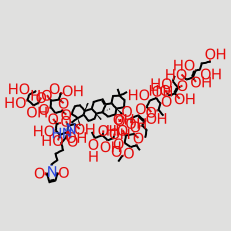 CCC(OC1OC(C)C(OC(C)=O)C(OC(O)C(O)C(O)C(C)O)C1O)/C(O)=C(/OC1OC(C)C(OC(O)/C(O)=C(/OC(O)/C(O)=C(\O)C(O)CCO)C(C)O)C(O)C1O)C(O)OC(=O)[C@]12CCC(C)(C)CC1C1=CCC3[C@@]4(C)CC[C@H](OC5OC(C(=O)O)C(O)C(OC6OCC(O)C(O)C6O)C5OC5OC(CO)C(O)C(O)C5O)[C@@](C)(/C=N/NC(=O)CCCCCN5C(=O)C=CC5=O)C4CC[C@@]3(C)[C@]1(C)C[C@H]2O